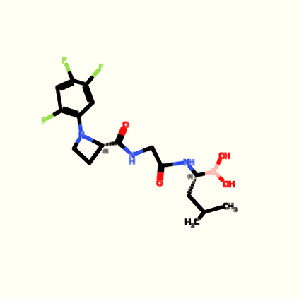 CC(C)C[C@H](NC(=O)CNC(=O)[C@@H]1CCN1c1cc(F)c(F)cc1F)B(O)O